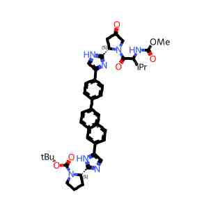 COC(=O)NC(C(=O)N1CC(=O)C[C@H]1c1nc(-c2ccc(-c3ccc4cc(-c5cnc([C@@H]6CCCN6C(=O)OC(C)(C)C)[nH]5)ccc4c3)cc2)c[nH]1)C(C)C